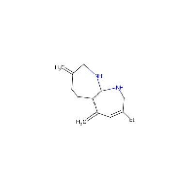 C=C1CCC2C(=C)C=C(CC)CNC2NC1